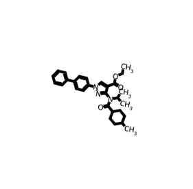 CCOC(=O)c1cn(-c2ccc(-c3ccccc3)cc2)nc1N(C(=O)C1CCC(C)CC1)C(C)C